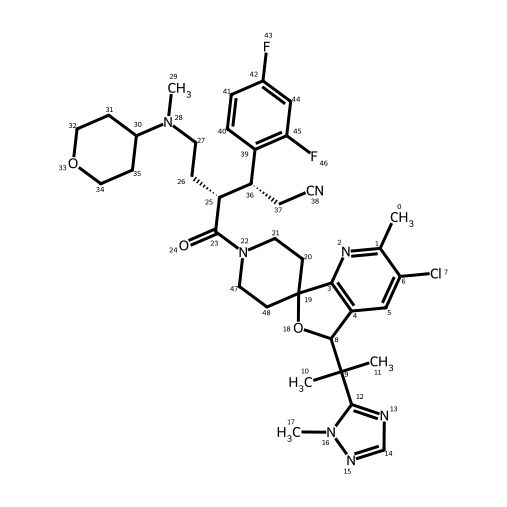 Cc1nc2c(cc1Cl)C(C(C)(C)c1ncnn1C)OC21CCN(C(=O)[C@H](CCN(C)C2CCOCC2)[C@@H](CC#N)c2ccc(F)cc2F)CC1